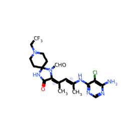 CC(/C=C(\C)Nc1ncnc(N)c1Cl)=C1\C(=O)NC2(CCN(CC(F)(F)F)CC2)N1C=O